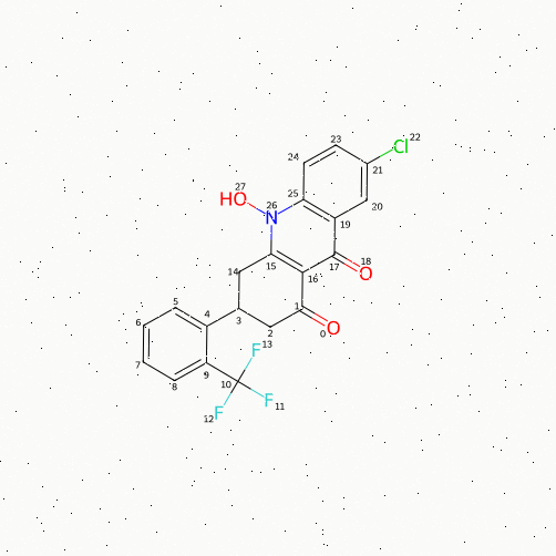 O=C1CC(c2ccccc2C(F)(F)F)Cc2c1c(=O)c1cc(Cl)ccc1n2O